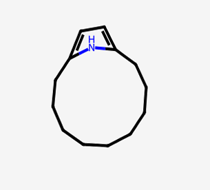 c1cc2[nH]c1CCCCCCCCC2